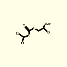 CCC(COC(=O)OC(CC)CC)OC